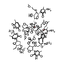 CC[C@H]1O[C@@H](n2cc(C)c(N)nc2=O)C[C@H]1OP(=O)(S)OC[C@H]1O[C@@H](n2cc(C)c(=O)[nH]c2=O)C(OCCOC)[C@H]1OP(=O)(O)OC[C@H]1O[C@@H](n2cc(C)c(N)nc2=O)C(OCCOC)[C@H]1OP(=O)(O)OC[C@H]1O[C@@H](n2cc(C)c(=O)[nH]c2=O)C(OCCOC)[C@H]1OP(=O)(S)OC[C@H]1O[C@@H](n2cnc3c(N)ncnc32)C(OCCOC)[C@H]1OP(=O)(S)OC[C@H]1O[C@@H](n2cc(C)c(N)nc2=O)C(OCCOC)[C@H]1O